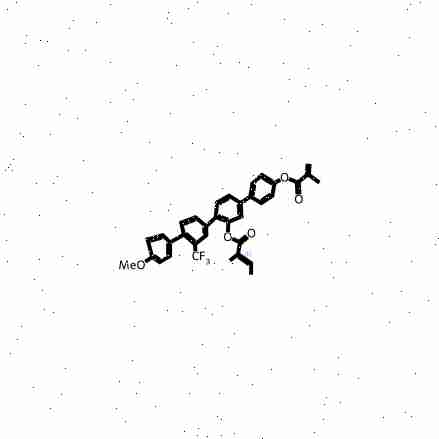 C=C(C)C(=O)Oc1ccc(-c2ccc(-c3ccc(-c4ccc(OC)cc4)c(C(F)(F)F)c3)c(OC(=O)/C(C)=C/C)c2)cc1